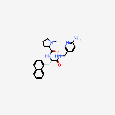 CN1CCCC1C(=O)N[C@@H](Cc1cccc2ccccc12)C(=O)NCc1ccc(N)nc1